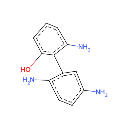 Nc1ccc(N)c(-c2c(N)cccc2O)c1